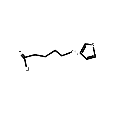 CCCCCC(=O)Cl.c1ccsc1